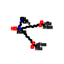 CCCCCCCCC(O)N(CCCN(C)C)C(CCCCCCCCCOC(=O)C(CCCC)CCCCCC)CCCCCCCCCOC(=O)C(CCCC)CCCCCC